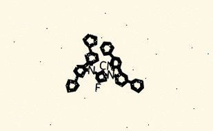 N#Cc1c(-n2c3ccc(-c4ccccc4)cc3c3ccc(-c4ccccc4)cc32)cc(F)cc1-n1c2ccc(-c3ccccc3)cc2c2ccc(-c3ccccc3)cc21